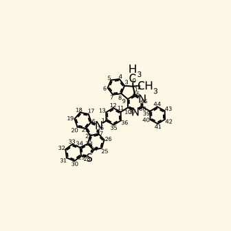 CC1(C)c2ccccc2-c2c(-c3ccc(-n4c5ccccc5c5c6c(ccc54)sc4ccccc46)cc3)nc(-c3ccccc3)nc21